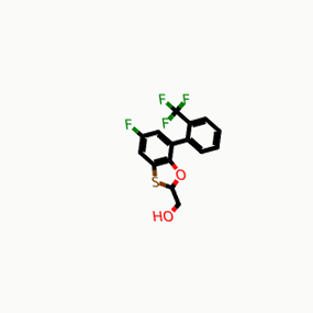 OCC1Oc2c(cc(F)cc2-c2ccccc2C(F)(F)F)S1